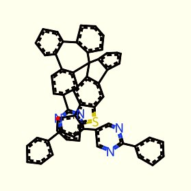 c1ccc(-c2cc(-c3cnc(-c4ccccc4)nc3)nc(-c3ccc4c(c3)C3(c5ccccc5-c5ccccc5-4)c4ccccc4-c4cc5sc6ccccc6c5cc43)n2)cc1